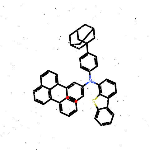 c1ccc(-c2cccc3cccc(-c4cccc(N(c5ccc(C67CC8CC(CC(C8)C6)C7)cc5)c5cccc6c5sc5ccccc56)c4)c23)cc1